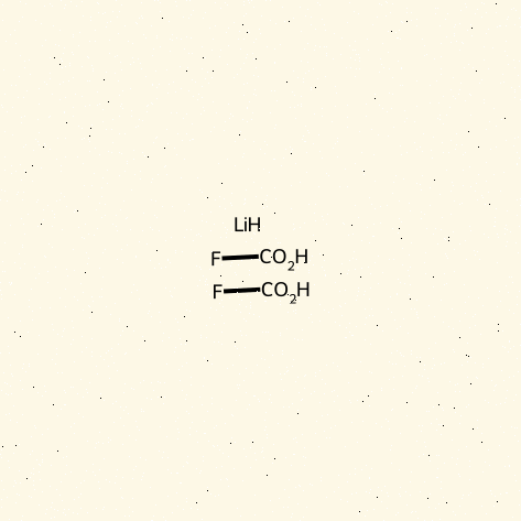 O=C(O)F.O=C(O)F.[LiH]